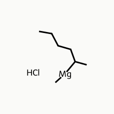 CCCC[CH](C)[Mg][CH3].Cl